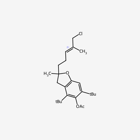 CC(=O)Oc1c(C(C)(C)C)cc2c(c1C(C)(C)C)CC(C)(CC/C=C(\C)CCl)O2